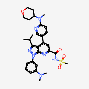 CC(C)c1nn(-c2cccc(N(C)C)c2)c2nc(C(=O)NS(C)(=O)=O)cc(-c3ccc(N(C)C4CCOCC4)nc3)c12